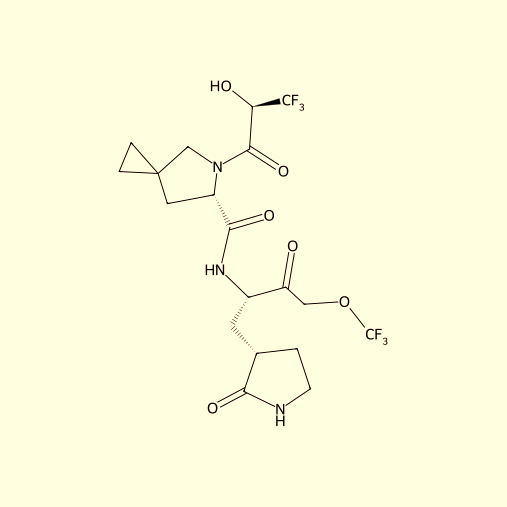 O=C1NCC[C@H]1C[C@H](NC(=O)[C@@H]1CC2(CC2)CN1C(=O)[C@@H](O)C(F)(F)F)C(=O)COC(F)(F)F